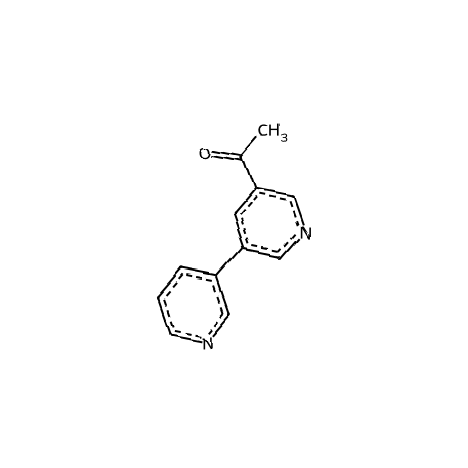 CC(=O)c1cncc(-c2cccnc2)c1